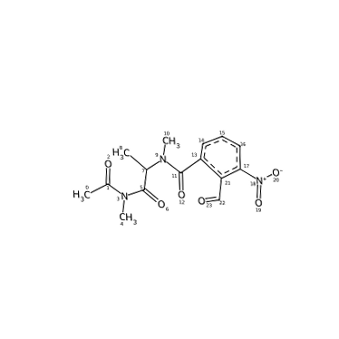 CC(=O)N(C)C(=O)C(C)N(C)C(=O)c1cccc([N+](=O)[O-])c1C=O